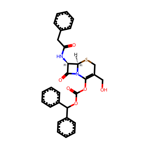 O=C(Cc1ccccc1)N[C@@H]1C(=O)N2C(OC(=O)OC(c3ccccc3)c3ccccc3)=C(CO)CS[C@H]12